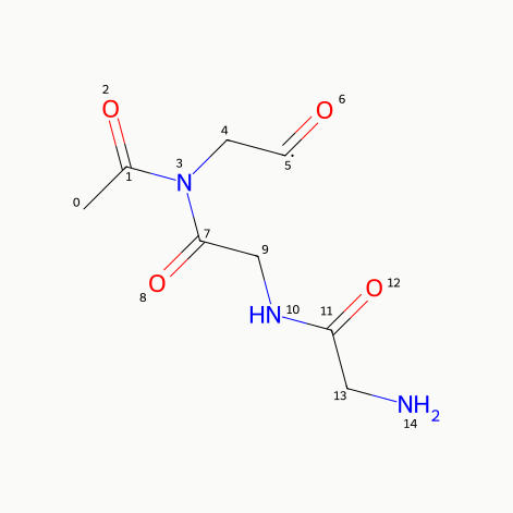 CC(=O)N(C[C]=O)C(=O)CNC(=O)CN